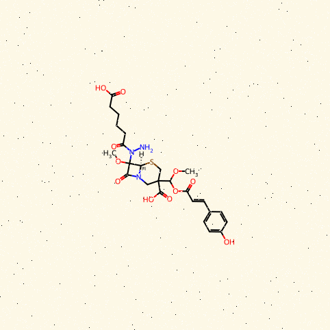 COC(OC(=O)C=Cc1ccc(O)cc1)C1(C(=O)O)CS[C@H]2N(C1)C(=O)C2(OC)N(N)C(=O)CCCCC(=O)O